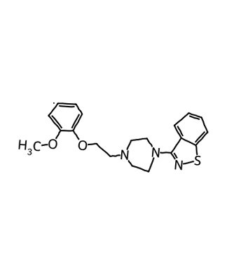 COc1c[c]ccc1OCCN1CCN(c2nsc3ccccc23)CC1